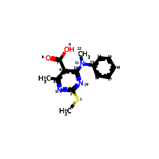 CSc1nc(C)c(C(=O)O)c(N(C)c2ccccc2)n1